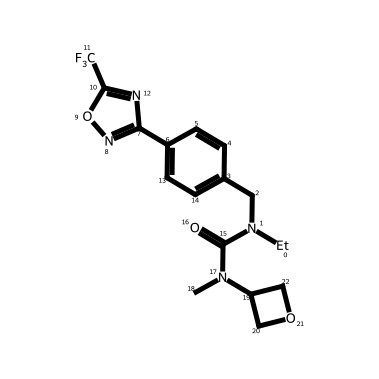 CCN(Cc1ccc(-c2noc(C(F)(F)F)n2)cc1)C(=O)N(C)C1COC1